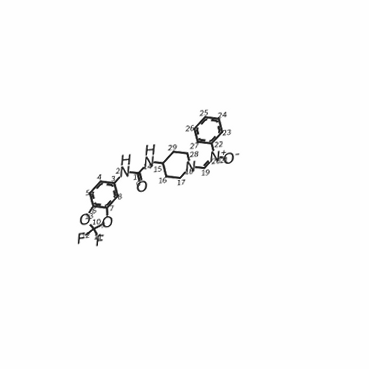 O=C(Nc1ccc2c(c1)OC(F)(F)O2)NC1CCN(/C=[N+](/[O-])c2ccccc2)CC1